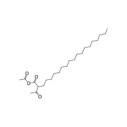 CCCCCCCCCCCCCCCCCCC(C(C)=O)C(=O)OC(C)=O